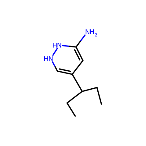 CCC(CC)C1=CNNC(N)=C1